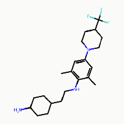 Cc1cc(N2CCC(C(F)(F)F)CC2)cc(C)c1NCCC1CCC(N)CC1